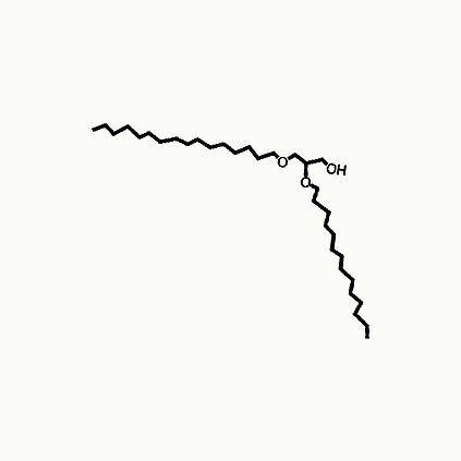 CCCCCCCCCCCCCCCCOCC(CO)OCCCCCCCCCCCCCC